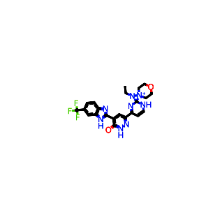 CCN1C2(N=C(c3cc(-c4nc5ccc(C(F)(F)F)cc5[nH]4)c(=O)[nH]n3)C=CN2)[N+]12CCOCC2